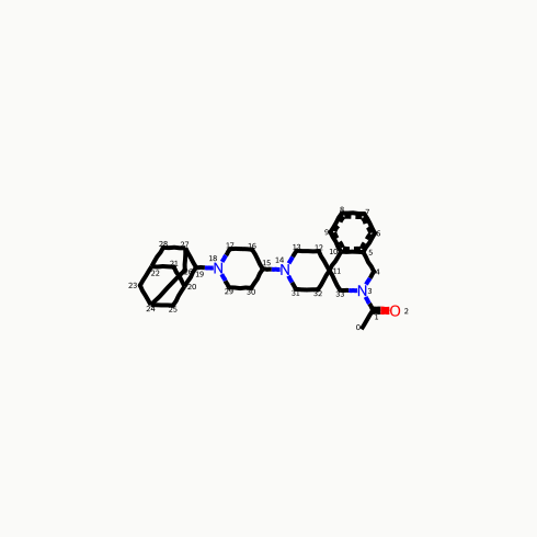 CC(=O)N1Cc2ccccc2C2(CCN(C3CCN(C4C5CC6CC(C5)CC4C6)CC3)CC2)C1